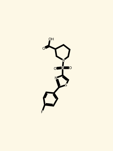 O=C(O)C1CCCN(S(=O)(=O)c2csc(-c3ccc(F)cc3)n2)C1